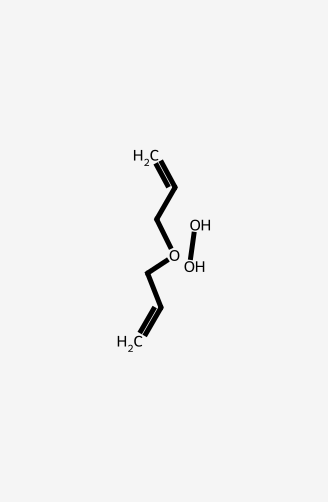 C=CCOCC=C.OO